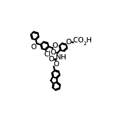 O=C(O)COc1ccc(C(NC(=O)OCc2ccc3c(c2)Cc2ccccc2-3)OC(=O)c2ccc(C(=O)c3ccccc3)cc2Cl)cc1